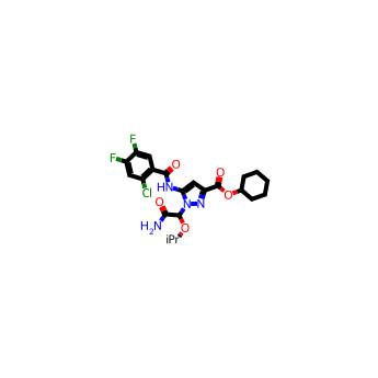 CC(C)OC(C(N)=O)n1nc(C(=O)OC2CCCCC2)cc1NC(=O)c1cc(F)c(F)cc1Cl